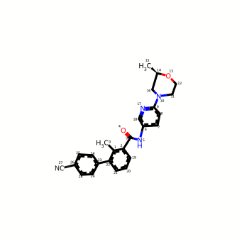 Cc1c(C(=O)Nc2ccc(N3CCO[C@H](C)C3)nc2)cccc1-c1ccc(C#N)cc1